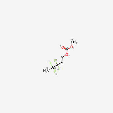 COC(=O)OCCC(F)(F)C(C)(F)F